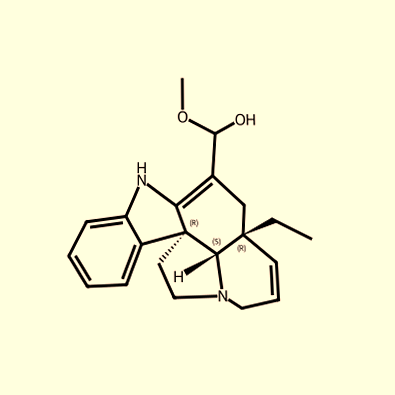 CC[C@]12C=CCN3CC[C@]4(C(=C(C(O)OC)C1)Nc1ccccc14)[C@@H]32